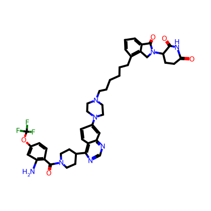 Nc1cc(OC(F)(F)F)ccc1C(=O)N1CCC(c2ncnc3cc(N4CCN(CCCCCCc5cccc6c5CN(C5CCC(=O)NC5=O)C6=O)CC4)ccc23)CC1